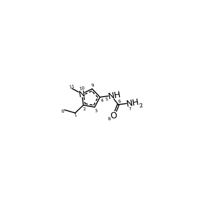 CCc1cc(NC(N)=O)cn1C